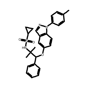 Cc1ccc(-n2ncc3cc(OC(c4ccccc4)C(C)(C)NS(=O)(=O)C4CC4)ccc32)cc1